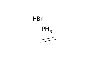 Br.C=C.P